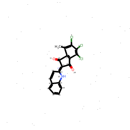 Cc1c(Cl)c(Cl)c(Cl)c2c1C(=O)/C(=C1\C=Cc3ccccc3N1)C2=O